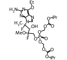 CCOc1nc(N)nc2c1ncn2[C@](C)(F)[C@H](O)[C@@](F)(COP(=O)(OCOC(=O)OC(C)C)OCOC(=O)OC(C)C)OC